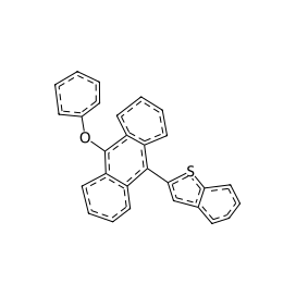 c1ccc(Oc2c3ccccc3c(-c3cc4ccccc4s3)c3ccccc23)cc1